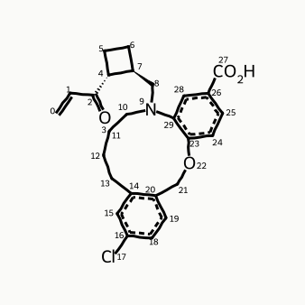 C=CC(=O)[C@@H]1CC[C@H]1CN1CCCCc2cc(Cl)ccc2COc2ccc(C(=O)O)cc21